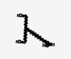 CCCCCCCCCCCCCCCCCCN(CCCCCCCCCCCCCCCCCC)CCCCCCCCCCCCCCCCOP(O)O